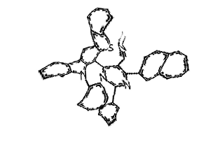 N#Cc1c(-c2ccc3ccccc3c2)nc(-c2ccccc2)nc1-c1c2sc3ccccc3c2cc2c3ccccc3n(-c3ccccc3)c12